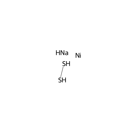 SS.[NaH].[Ni]